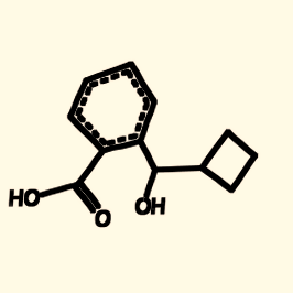 O=C(O)c1ccccc1C(O)C1CCC1